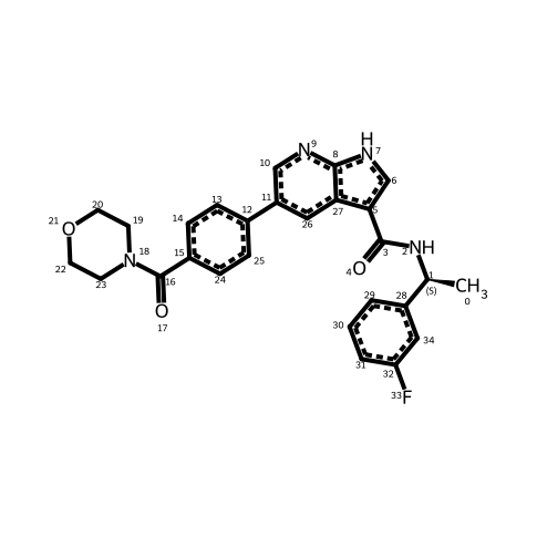 C[C@H](NC(=O)c1c[nH]c2ncc(-c3ccc(C(=O)N4CCOCC4)cc3)cc12)c1cccc(F)c1